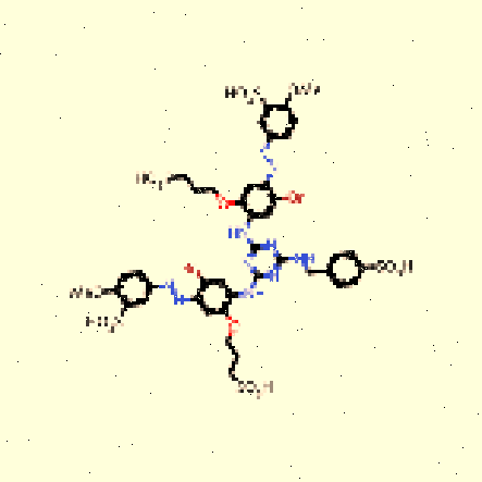 COc1ccc(N=Nc2cc(OCCCS(=O)(=O)O)c(Nc3nc(NCc4ccc(S(=O)(=O)O)cc4)nc(Nc4cc(Br)c(N=Nc5ccc(OC)c(S(=O)(=O)O)c5)cc4OCCCS(=O)(=O)O)n3)cc2Br)cc1S(=O)(=O)O